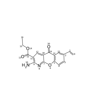 C=Cc1ccc2oc3nc(N)c(C(=O)OCC)cc3c(=O)c2c1